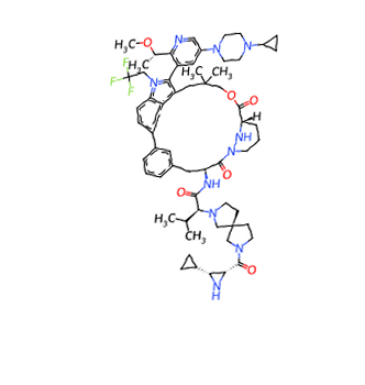 CO[C@@H](C)c1ncc(N2CCN(C3CC3)CC2)cc1-c1c2c3cc(ccc3n1CC(F)(F)F)-c1cccc(c1)C[C@H](NC(=O)[C@H](C(C)C)N1CC[C@]3(CCN(C(=O)[C@@H]4N[C@@H]4C4CC4)C3)C1)C(=O)N1CCC[C@H](N1)C(=O)OCC(C)(C)C2